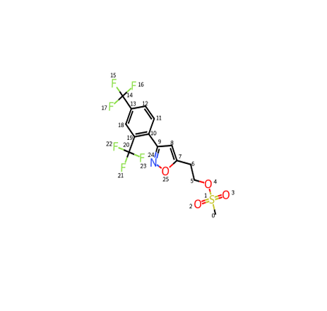 CS(=O)(=O)OCCc1cc(-c2ccc(C(F)(F)F)cc2C(F)(F)F)no1